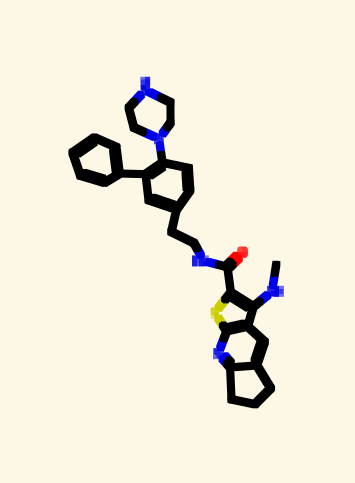 CNc1c(C(=O)NCCc2ccc(N3CCNCC3)c(-c3ccccc3)c2)sc2nc3c(cc12)CCC3